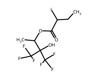 CCC(I)C(=O)OC(C)C(O)(C(F)(F)F)C(F)(F)F